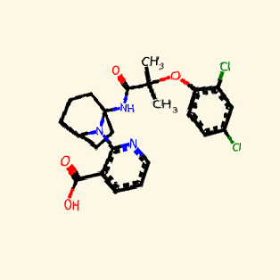 CC(C)(Oc1ccc(Cl)cc1Cl)C(=O)NC12CCCC(CC1)N2c1ncccc1C(=O)O